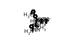 COC(=O)[C@H](Cc1cccc(C(=N)N)c1)[C@@H](C)NC(=O)c1ccc(-c2cccc[n+]2C)cc1.O=C(O)C(F)(F)F.O=C([O-])C(F)(F)F